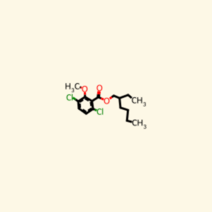 CCCCC(CC)COC(=O)c1c(Cl)ccc(Cl)c1OC